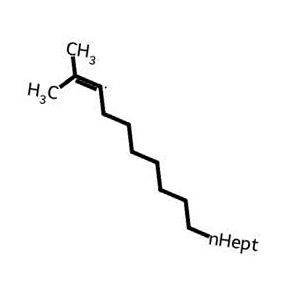 CCCCCCCCCCCCCC[C]=C(C)C